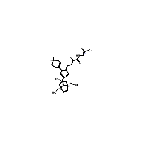 C/C(C#N)=C\NC(=N)C(=O)CCc1ccc([C@]2(O)C[C@@]3(CO)C=C[C@@](CO)(C2)O3)cc1C1=CCC(C)(C)CC1